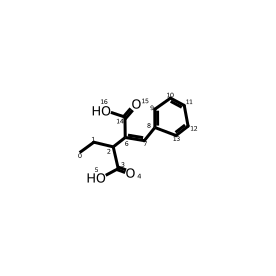 CCC(C(=O)O)C(=Cc1ccccc1)C(=O)O